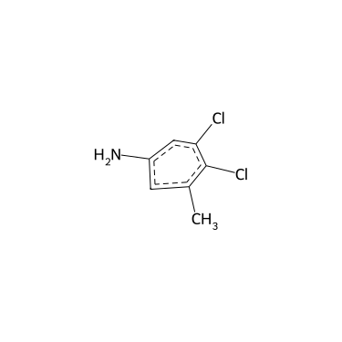 Cc1cc(N)cc(Cl)c1Cl